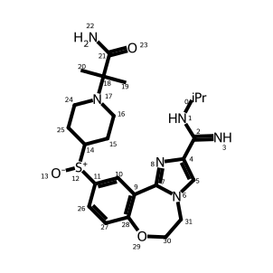 CC(C)NC(=N)c1cn2c(n1)-c1cc([S+]([O-])C3CCN(C(C)(C)C(N)=O)CC3)ccc1OCC2